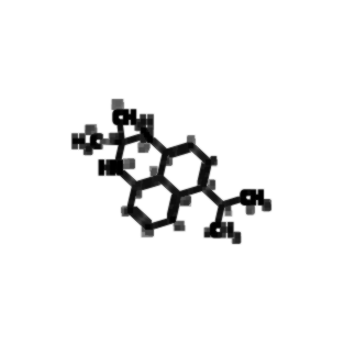 CC(C)c1ccc2c3c(cccc13)NC(C)(C)N2